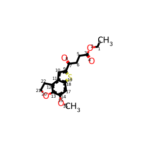 CCOC(=O)CCC(=O)c1cc2c3c(c(OC)cc2s1)OCC3